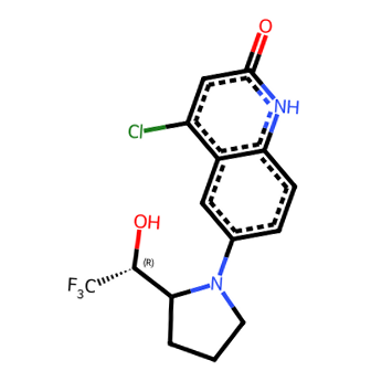 O=c1cc(Cl)c2cc(N3CCCC3[C@@H](O)C(F)(F)F)ccc2[nH]1